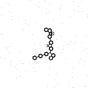 CC1(C)c2cc(-c3ccc4c(c3)oc3ccc5ccccc5c34)ccc2-c2ccc(C(c3ccc(-c4ccc(-c5ccccc5)cc4)cc3)c3cccc4ccccc34)cc21